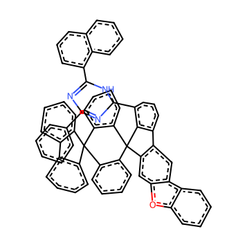 c1ccc(C2=NC(c3cccc4c3C3(c5cc6oc7ccccc7c6cc5-4)c4ccccc4C4(c5ccccc5-c5ccccc54)c4ccccc43)NC(c3cccc4ccccc34)=N2)cc1